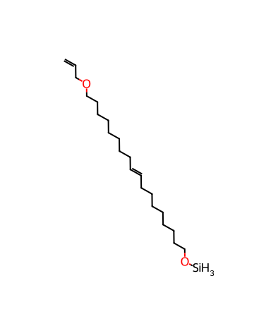 C=CCOCCCCCCCCC=CCCCCCCCCO[SiH3]